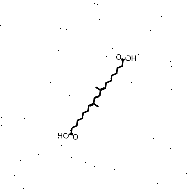 C/C(=C\CCCCCCC(=O)O)CC/C(C)=C/CCCCCCC(=O)O